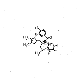 CC(CC1CC(C)C(C)C1Sc1cc(C(=O)Nc2cc(F)c(F)c(F)c2)ccc1Cl)CN(C)C